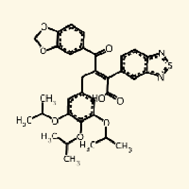 CC(C)Oc1cc(C/C(C(=O)c2ccc3c(c2)OCO3)=C(\C(=O)O)c2ccc3nsnc3c2)cc(OC(C)C)c1OC(C)C